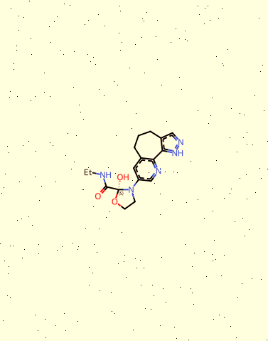 CCNC(=O)[C@]1(O)OCCN1c1cnc2c(c1)CCCc1cn[nH]c1-2